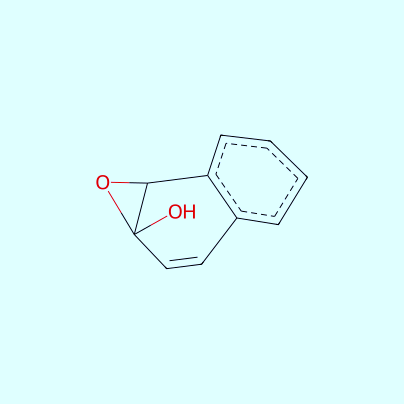 OC12C=Cc3ccccc3C1O2